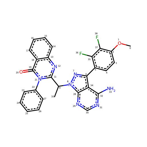 COc1ccc(-c2nn(C(C)c3nc4ccccc4c(=O)n3-c3ccccc3)c3ncnc(N)c23)c(F)c1F